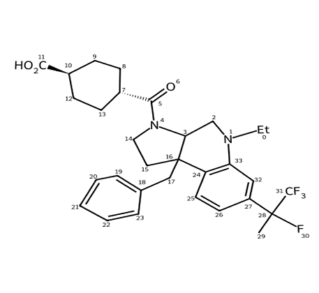 CCN1CC2N(C(=O)[C@H]3CC[C@H](C(=O)O)CC3)CCC2(Cc2ccccc2)c2ccc(C(C)(F)C(F)(F)F)cc21